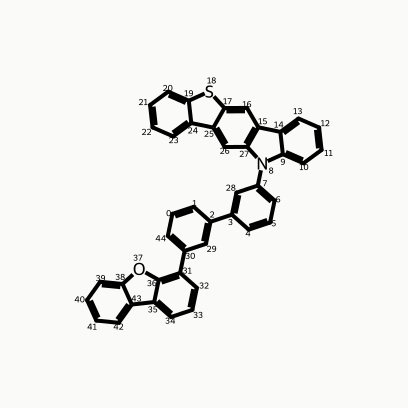 c1cc(-c2cccc(-n3c4ccccc4c4cc5sc6ccccc6c5cc43)c2)cc(-c2cccc3c2oc2ccccc23)c1